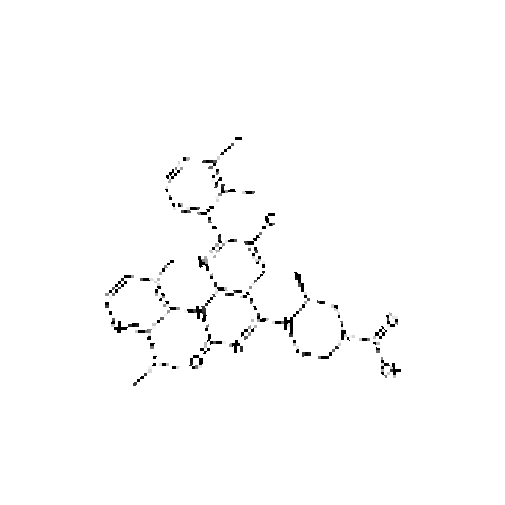 Cc1ccnc(C(C)C)c1-n1c(=O)nc(N2CCN(C(=O)O)C[C@@H]2C)c2cc(Cl)c(-c3cccc(F)c3C)nc21